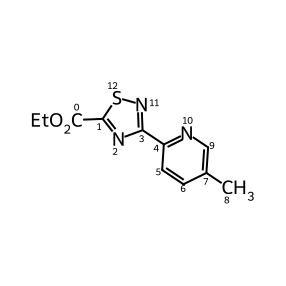 CCOC(=O)c1nc(-c2ccc(C)cn2)ns1